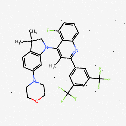 Cc1c(-c2cc(C(F)(F)F)cc(C(F)(F)F)c2)nc2cccc(F)c2c1N1CC(C)(C)c2ccc(N3CCOCC3)cc21